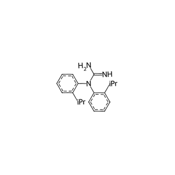 CC(C)c1ccccc1N(C(=N)N)c1ccccc1C(C)C